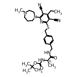 CCc1c(C#N)c(SCc2ccc(CNC(=O)[C@@H](C)NC(=O)OC(C)(C)C)cc2)nc(N2CCCN(C)CC2)c1C#N